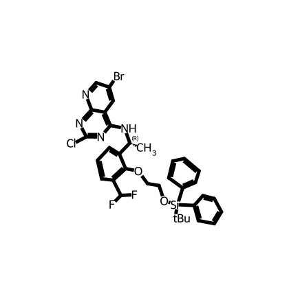 C[C@@H](Nc1nc(Cl)nc2ncc(Br)cc12)c1cccc(C(F)F)c1OCCO[Si](c1ccccc1)(c1ccccc1)C(C)(C)C